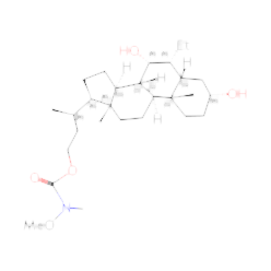 CC[C@H]1[C@@H](O)[C@@H]2[C@H](CC[C@]3(C)[C@@H]([C@H](C)CCOC(=O)N(C)OC)CC[C@@H]23)[C@@]2(C)CC[C@@H](O)C[C@@H]12